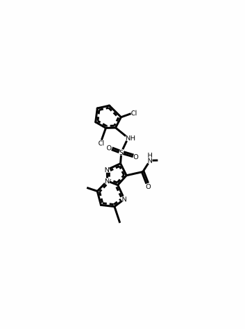 CNC(=O)c1c(S(=O)(=O)Nc2c(Cl)cccc2Cl)nn2c(C)cc(C)nc12